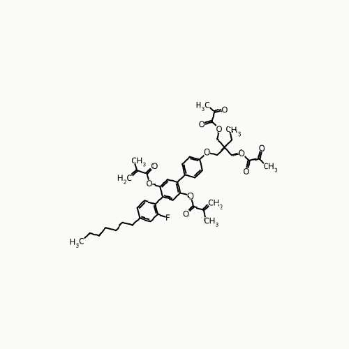 C=C(C)C(=O)Oc1cc(-c2ccc(CCCCCCC)cc2F)c(OC(=O)C(=C)C)cc1-c1ccc(OCC(CC)(COC(=O)C(C)=O)COC(=O)C(C)=O)cc1